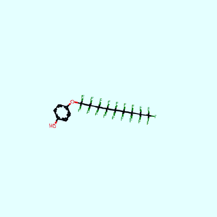 Oc1ccc(OC(F)(F)C(F)(F)C(F)(F)C(F)(F)C(F)(F)C(F)(F)C(F)(F)C(F)(F)C(F)(F)F)cc1